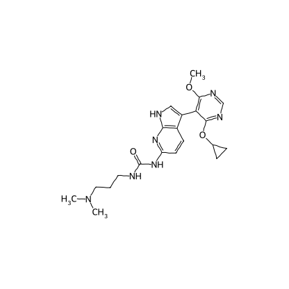 COc1ncnc(OC2CC2)c1-c1c[nH]c2nc(NC(=O)NCCCN(C)C)ccc12